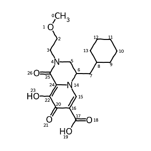 COCCN1CC(CC2CCCCC2)n2cc(C(=O)O)c(=O)c(O)c2C1=O